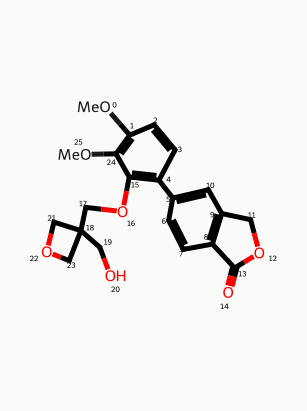 COc1ccc(-c2ccc3c(c2)COC3=O)c(OCC2(CO)COC2)c1OC